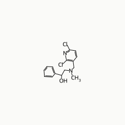 CN(Cc1ccc(Cl)nc1Cl)CC(O)c1ccccc1